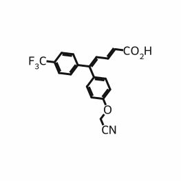 N#CCOc1ccc(/C(=C\C=C\C(=O)O)c2ccc(C(F)(F)F)cc2)cc1